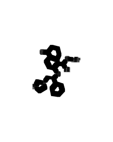 CCCOC(CC)c1c(O[C@H](Cn2ccnc2)c2ccccc2)ccc2c1CCCC2=O